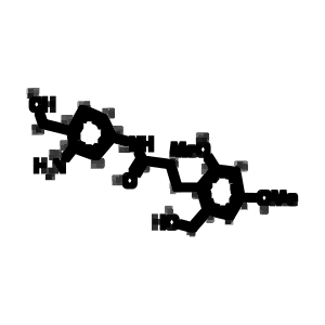 COc1cc(CO)c(CCC(=O)Nc2ccc(CO)c(N)c2)c(OC)c1